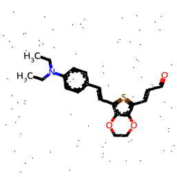 CCN(CC)c1ccc(/C=C/c2sc(/C=C/C=O)c3c2OCCO3)cc1